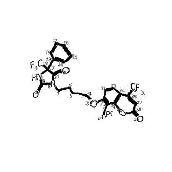 CCCc1c(OCCCCN2C(=O)NC(c3ccccc3)(C(F)(F)F)C2=O)ccc2c(C(F)(F)F)cc(=O)oc12